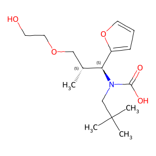 C[C@H](COCCO)[C@@H](c1ccco1)N(CC(C)(C)C)C(=O)O